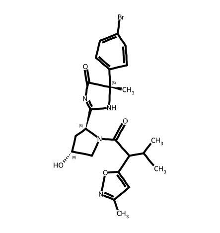 Cc1cc(C(C(=O)N2C[C@H](O)C[C@H]2C2=NC(=O)[C@](C)(c3ccc(Br)cc3)N2)C(C)C)on1